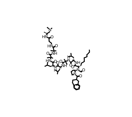 CCCCCCCC[C@@H](C(=O)N[C@@H](CC(C)C)C(=O)NC(C)(C)C(=O)N[C@@H](CC(C)C)C(=O)N[C@@H](CC(C)C)C(=O)NC(C)(C)C(=O)NC(C)(C)C(=O)NCCC(=O)N[C@@H](C)CN(C)C)N(C=O)[C@@H]1CCCN1C(=O)C1CCc2ccccc2C1